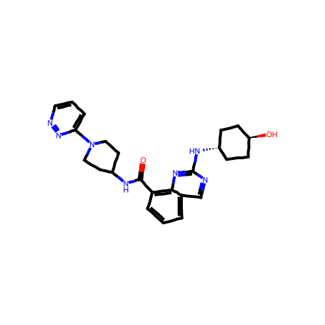 O=C(NC1CCN(c2cccnn2)CC1)c1cccc2cnc(N[C@H]3CC[C@H](O)CC3)nc12